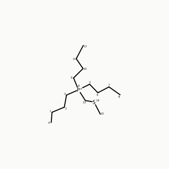 CCCC[P+](CCCC)(CCCC)CSC